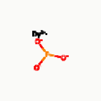 [Dy+3].[O-]P([O-])[O-]